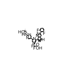 C[C@@H](O)CNc1ncc(-c2cncc([C@@]34CC[C@@H](c5cc(-c6c(F)cccc6F)nnc53)C4(C)C)n2)cn1.O=C(O)C(F)(F)F